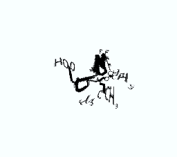 CC(C)CC[C@H](COC(C)C)N1CC[C@@H](CC(=O)O)C[C@H]1c1ccc(C(F)(F)F)cc1